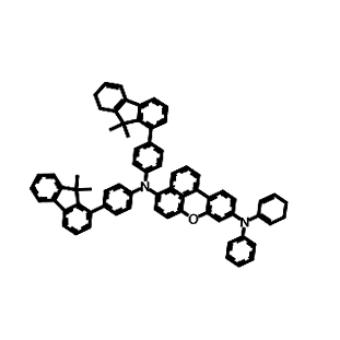 CC1(C)C2=C(C=CCC2)c2cccc(-c3ccc(N(c4ccc(-c5cccc6c5C(C)(C)c5ccccc5-6)cc4)c4ccc5c6c(cccc46)-c4ccc(N(C6=CCCC=C6)c6ccccc6)cc4O5)cc3)c21